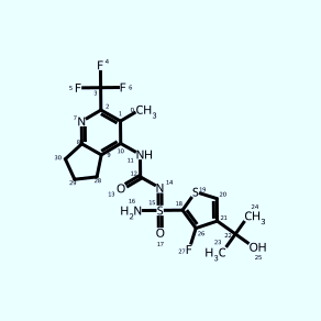 Cc1c(C(F)(F)F)nc2c(c1NC(=O)N=S(N)(=O)c1scc(C(C)(C)O)c1F)CCC2